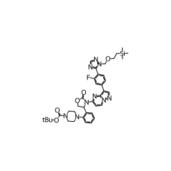 CC(C)(C)OC(=O)N1CCN(c2ccccc2C2COC(=O)N2c2ccn3ncc(-c4ccc(-c5ncnn5COCC[Si](C)(C)C)c(F)c4)c3n2)CC1